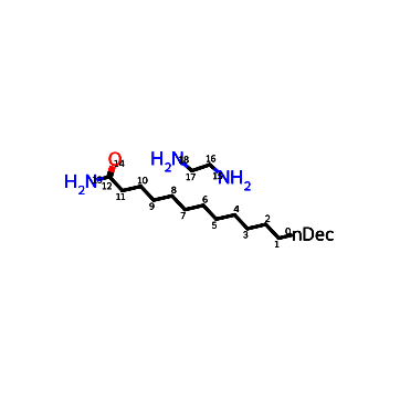 CCCCCCCCCCCCCCCCCCCCCC(N)=O.NCCN